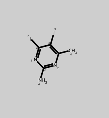 Cc1nc(N)nc(I)c1I